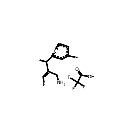 CC(/C(=C/F)CN)c1cccc(F)c1.O=C(O)C(F)(F)F